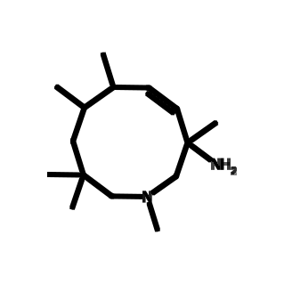 CC1C=CC(C)(N)CN(C)CC(C)(C)CC1C